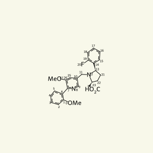 COc1ccccc1-c1ncc(CN2[C@@H](c3ccccc3F)CC[C@H]2C(=O)O)cc1OC